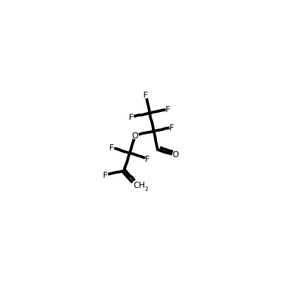 C=C(F)C(F)(F)OC(F)(C=O)C(F)(F)F